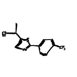 C[C@H](Cl)c1cnc(-c2ccc(C(F)(F)F)cc2)s1